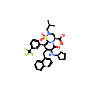 CC(C)CN1CC(C(=O)O)n2c(c(-c3cccc(C(F)(F)F)c3)c(Cc3cccc4ccccc34)c(NC3CCCC3)c2=O)S1(=O)=O